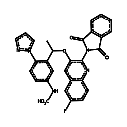 CC(Oc1cc2cc(F)ccc2nc1N1C(=O)c2ccccc2C1=O)c1cc(NC(=O)O)ccc1-n1cccn1